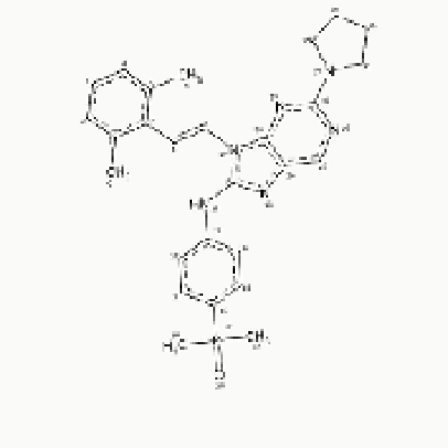 Cc1cccc(C)c1/C=C/n1c(Nc2ccc(P(C)(C)=O)cc2)nc2cnc(N3CCCC3)nc21